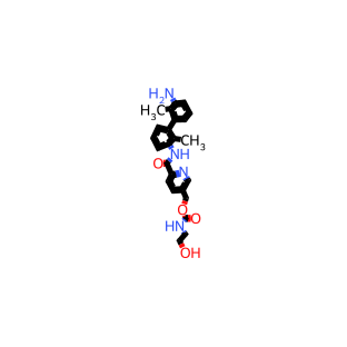 Cc1c(N)cccc1-c1cccc(NC(=O)c2ccc(COC(=O)NCCO)cn2)c1C